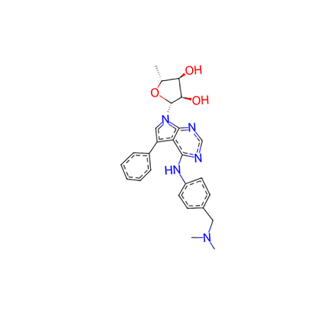 C[C@H]1O[C@@H](n2cc(-c3ccccc3)c3c(Nc4ccc(CN(C)C)cc4)ncnc32)[C@H](O)[C@@H]1O